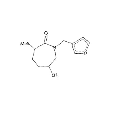 CNC1CCC(C)CN(Cc2ccoc2)C1=O